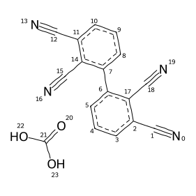 N#Cc1cccc(-c2cccc(C#N)c2C#N)c1C#N.O=C(O)O